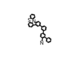 N#Cc1ccc(-c2cccc(-c3ccc4c(c3)c3cccc5c3n4-c3ccccc3S5)c2)cc1-c1ccccc1